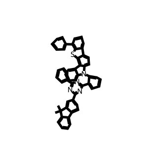 CC1(C)c2ccccc2-c2ccc(-c3nc(-c4ccccc4)nc(-c4ccccc4-n4c5ccccc5c5c6sc7c(-c8ccccc8)cccc7c6ccc54)n3)cc21